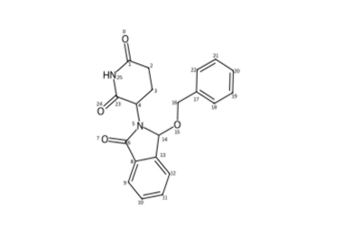 O=C1CCC(N2C(=O)c3ccccc3C2OCc2ccccc2)C(=O)N1